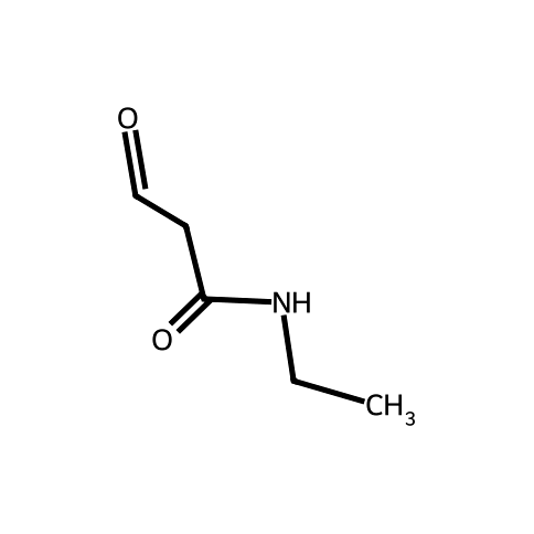 CCNC(=O)CC=O